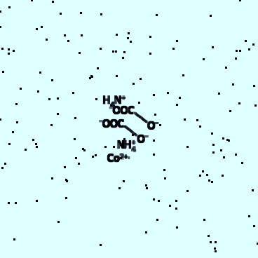 O=C([O-])[O-].O=C([O-])[O-].[Co+2].[NH4+].[NH4+]